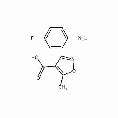 Cc1oncc1C(=O)O.Nc1ccc(F)cc1